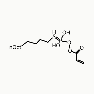 C=CC(=O)OOP(O)(O)=[SH]CCCCCCCCCCCC